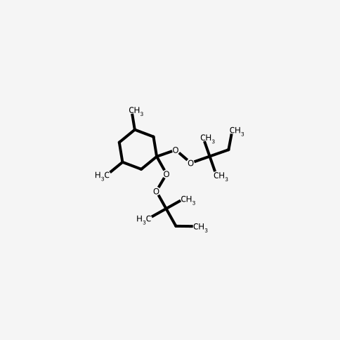 CCC(C)(C)OOC1(OOC(C)(C)CC)CC(C)CC(C)C1